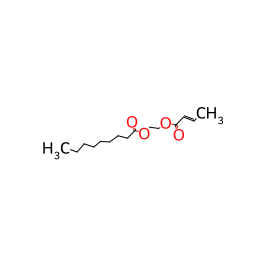 CC=CC(=O)OCCOC(=O)CCCCCCCC